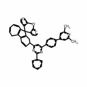 Cc1cc(-c2ccc(-c3cc(C4C=CC5=C(C4)C4(C6=C5CC=CC=C6)c5ccccc5Oc5ccccc54)nc(-c4ccccc4)n3)cc2)cc(C)n1